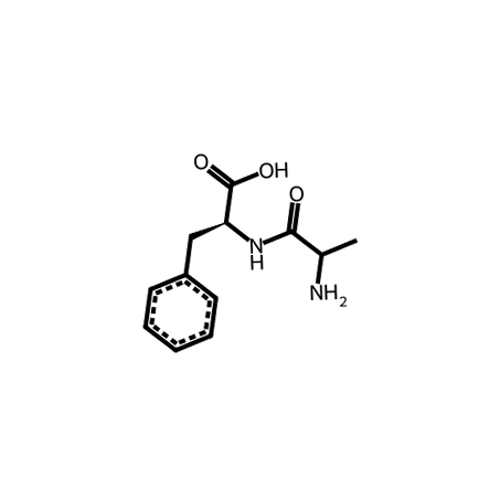 CC(N)C(=O)N[C@@H](Cc1ccccc1)C(=O)O